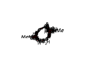 CN[C@@H](C)C(=O)N[C@H](C(=O)N1CC[C@@H]2[C@H]1C(=O)N[C@@H](Cc1ccc3ccccc3c1)C(=O)N[C@H](C(=O)O)Cc1ccc(cc1)OCc1cn(nn1)[C@@H]1CCN(C(=O)[C@@H](NC(=O)[C@H](C)NC)C(C)(C)C)[C@@H]1C(=O)N[C@@H](Cc1ccc3ccccc3c1)C(=O)N[C@H](c1nc(=S)o[nH]1)Cc1ccc(cc1)OCc1cn2nn1)C(C)(C)C